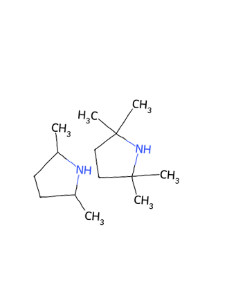 CC1(C)CCC(C)(C)N1.CC1CCC(C)N1